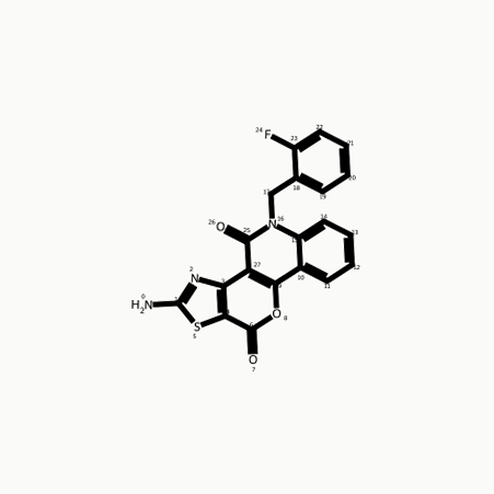 Nc1nc2c(s1)c(=O)oc1c3ccccc3n(Cc3ccccc3F)c(=O)c21